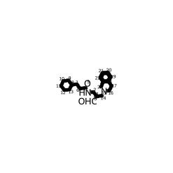 O=C[C@@H](CNC(=O)CCC1CCCCC1)CN1CCc2ccccc2C1